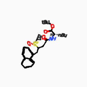 CCCC[C@H](NC(=O)CC(Cc1cccc2ccccc12)[S+]([O-])CC)C(=O)OC(C)(C)C